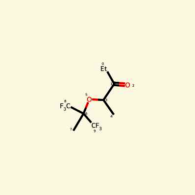 CCC(=O)C(C)OC(C)(C(F)(F)F)C(F)(F)F